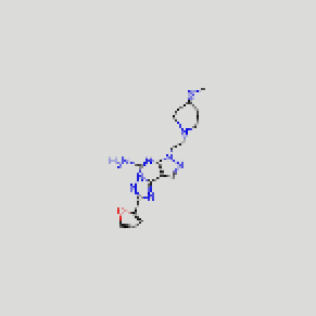 CN=C1CCN(CCn2ncc3c2nc(N)n2nc(-c4ccco4)nc32)CC1